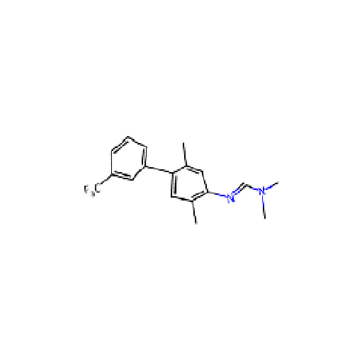 Cc1cc(-c2cccc(C(F)(F)F)c2)c(C)cc1N=CN(C)C